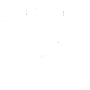 CCCNC(=O)c1cc(C(=O)OC(CNCc2cccc(CC)c2)C(N)Cc2cc(F)cc(F)c2)cc(S(=O)(=O)NCCO)c1